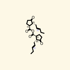 CC/C=C/C[C@H]1C(=O)CC[C@@H]1C(=O)OC(=O)[C@H]1CCC(=O)[C@@H]1C/C=C/CC